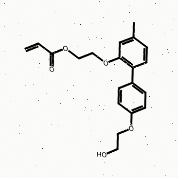 C=CC(=O)OCCOc1cc(C)ccc1-c1ccc(OCCO)cc1